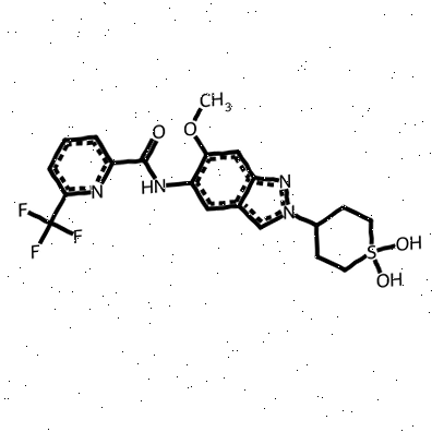 COc1cc2nn(C3CCS(O)(O)CC3)cc2cc1NC(=O)c1cccc(C(F)(F)F)n1